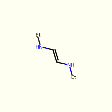 CCN/C=C/NCC